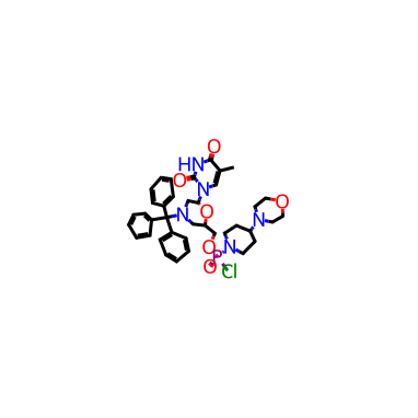 Cc1cn(C2CN(C(c3ccccc3)(c3ccccc3)c3ccccc3)CC(COP(=O)(Cl)N3CCC(N4CCOCC4)CC3)O2)c(=O)[nH]c1=O